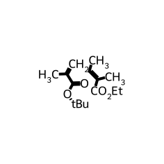 C=C(C)C(=O)OC(C)(C)C.CC=C(C)C(=O)OCC